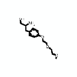 COCCOCCOc1ccc(CC(N)CO)cc1